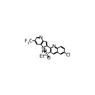 CCS(=O)(=O)c1cc2cc(Cl)ccc2nc1-c1cc2ncc(C(F)(F)F)cc2[nH]1